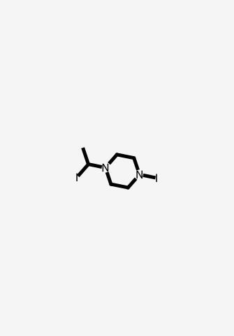 CC(I)N1CCN(I)CC1